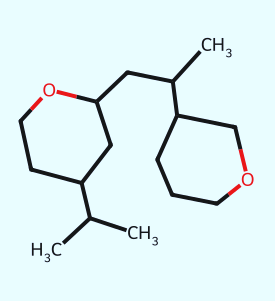 CC(C)C1CCOC(CC(C)C2CCCOC2)C1